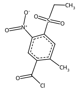 CCS(=O)(=O)c1cc(C)c(C(=O)Cl)cc1[N+](=O)[O-]